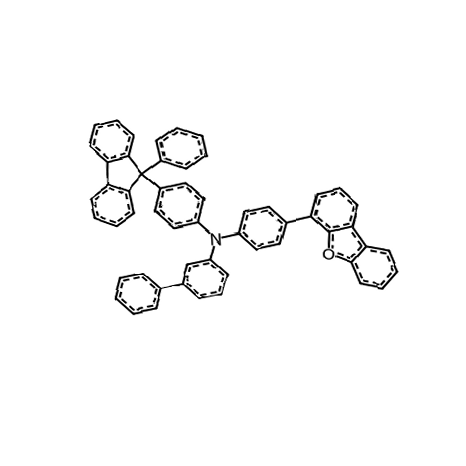 c1ccc(-c2cccc(N(c3ccc(-c4cccc5c4oc4ccccc45)cc3)c3ccc(C4(c5ccccc5)c5ccccc5-c5ccccc54)cc3)c2)cc1